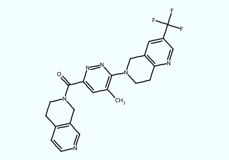 Cc1cc(C(=O)N2CCc3ccncc3C2)nnc1N1CCc2ncc(C(F)(F)F)cc2C1